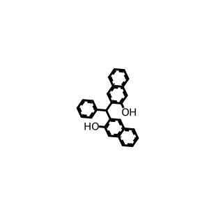 Oc1cc2ccccc2cc1C(c1ccccc1)c1cc2ccccc2cc1O